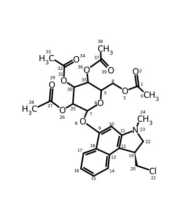 CC(=O)OCC1OC(Oc2cc3c(c4ccccc24)[C@H](CCl)CN3C)C(OC(C)=O)C(OC(C)=O)C1OC(C)=O